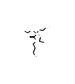 CCO[Si](OCC)(OCC)C(=O)OCCCN